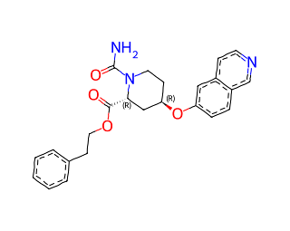 NC(=O)N1CC[C@@H](Oc2ccc3cnccc3c2)C[C@@H]1C(=O)OCCc1ccccc1